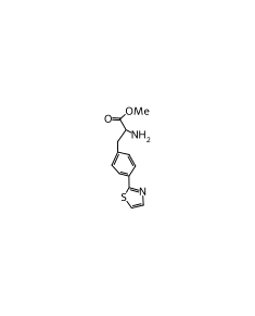 COC(=O)C(N)Cc1ccc(-c2nccs2)cc1